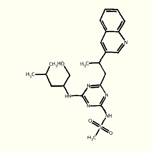 CC(C)CC(CO)Nc1nc(CC(C)c2cnc3ccccc3c2)nc(NS(C)(=O)=O)n1